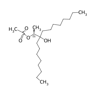 CCCCCCCCC(O)(CCCCCCCC)[C@H](C)OS(C)(=O)=O